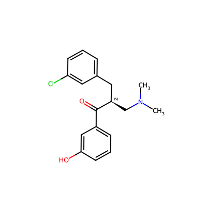 CN(C)C[C@H](Cc1cccc(Cl)c1)C(=O)c1cccc(O)c1